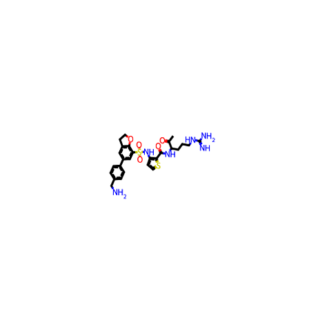 CC(=O)C(CCCNC(=N)N)NC(=O)c1sccc1NS(=O)(=O)c1cc(-c2ccc(CN)cc2)cc2c1OCC2